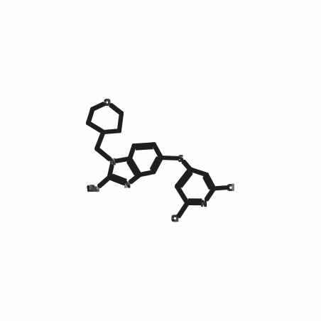 CC(C)(C)c1nc2cc(Sc3cc(Cl)nc(Cl)c3)ccc2n1CC1CCOCC1